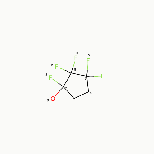 [O]C1(F)CCC(F)(F)C1(F)F